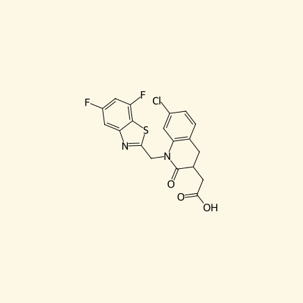 O=C(O)CC1Cc2ccc(Cl)cc2N(Cc2nc3cc(F)cc(F)c3s2)C1=O